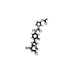 CC(=O)OC1CCN(C(=O)Nc2ccc(-c3cn4nc(Cl)cc(Br)c4n3)c(F)c2)C1